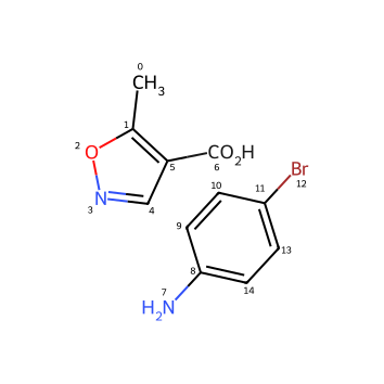 Cc1oncc1C(=O)O.Nc1ccc(Br)cc1